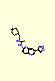 O=C(NCC1CCC(F)(F)CC1)Nc1ccc2ncc(-c3cn[nH]c3)cc2n1